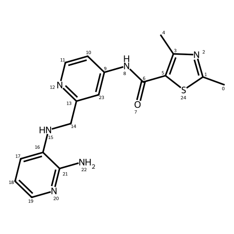 Cc1nc(C)c(C(=O)Nc2ccnc(CNc3cccnc3N)c2)s1